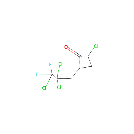 O=C1C(Cl)CC1CC(Cl)(Cl)C(F)(F)Cl